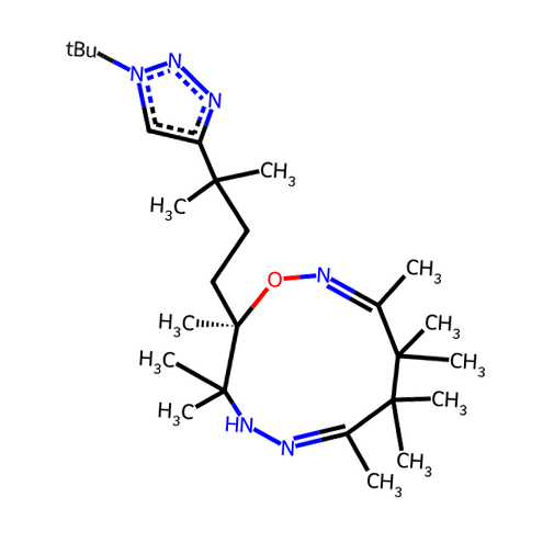 CC1=NNC(C)(C)[C@@](C)(CCC(C)(C)c2cn(C(C)(C)C)nn2)ON=C(C)C(C)(C)C1(C)C